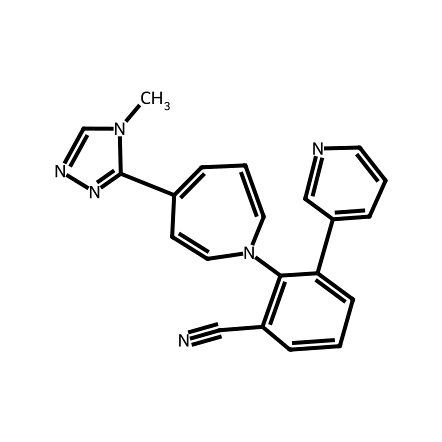 Cn1cnnc1C1=CC=CN(c2c(C#N)cccc2-c2cccnc2)C=C1